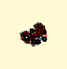 [2H]c1c([2H])c([2H])c(-c2cccc(-c3c([2H])c([2H])c([2H])c([2H])c3[2H])c2N2CN(c3cccc(Oc4ccc5c6ccccc6n(-c6cc7c(cn6)c6ccccc6n7-c6c(-c7c([2H])c([2H])c8c(c7[2H])C(C([2H])([2H])[2H])(C([2H])([2H])[2H])C([2H])([2H])C([2H])([2H])C8(C([2H])([2H])[2H])C([2H])([2H])[2H])cccc6-c6c([2H])c([2H])c7c(c6[2H])C(C([2H])([2H])[2H])(C([2H])([2H])[2H])C([2H])([2H])C([2H])([2H])C7(C([2H])([2H])[2H])C([2H])([2H])[2H])c5c4)c3)c3ccccc32)c([2H])c1[2H]